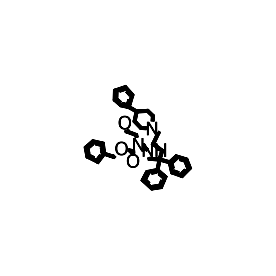 O=CCN(NCC(CCCN1CCC(c2ccccc2)CC1)(c1ccccc1)c1ccccc1)C(=O)OCc1ccccc1